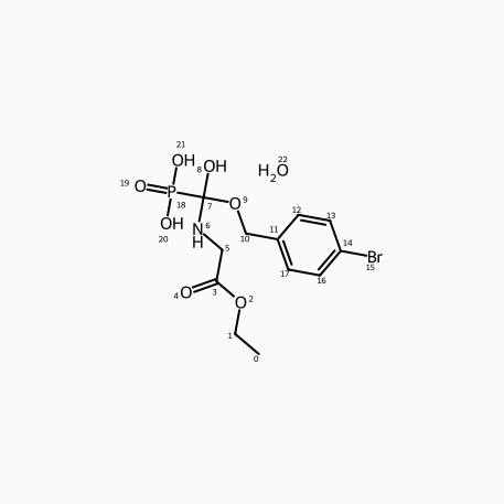 CCOC(=O)CNC(O)(OCc1ccc(Br)cc1)P(=O)(O)O.O